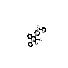 N#Cc1c(N2CCN(C(=O)C3=CCCO3)CC2)c2ccccc2n(C2CCCC2)c1=O